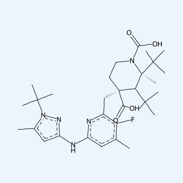 Cc1cc(Nc2cc(C)n(C(C)(C)C)n2)nc(C[C@]2(C(=O)O)CCN(C(=O)O)[C@@](C)(C(C)(C)C)C2C(C)(C)C)c1F